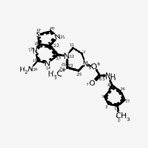 Cc1ccc(NC(=O)ON2CCN(c3nc(N)nc4scnc34)[C@@H](C)C2)cc1